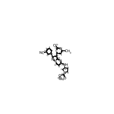 Cc1cc(-c2c(-c3cccc(C#N)c3)nn3ccc(N[C@H]4CCN(C(=O)OC(C)(C)C)C4)nc23)cc(Cl)n1